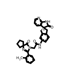 Cc1ccccc1C1=NC2(CCCC2)C(=O)N1CC(=O)Nc1ccc2c(c1)C[C@@]1(C2)C(=O)Nc2ncccc21